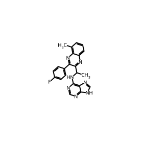 Cc1cccc2nc(C(C)Nc3ncnc4[nH]cnc34)c(-c3ccc(F)cc3)nc12